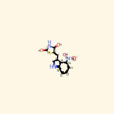 O=C1NC(=O)/C(=C/c2c[nH]c3cccc([N+](=O)[O-])c23)S1